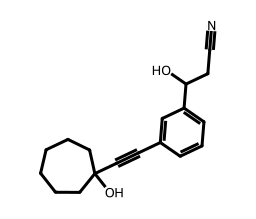 N#CCC(O)c1cccc(C#CC2(O)CCCCCC2)c1